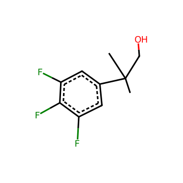 CC(C)(CO)c1cc(F)c(F)c(F)c1